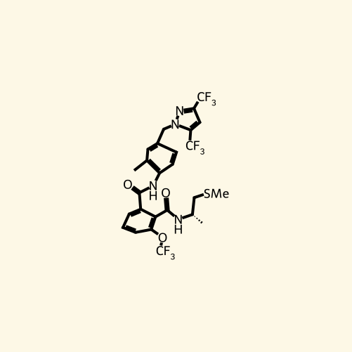 CSC[C@H](C)NC(=O)c1c(OC(F)(F)F)cccc1C(=O)Nc1ccc(Cn2nc(C(F)(F)F)cc2C(F)(F)F)cc1C